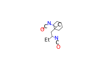 CCC(CC12CCC(CC1)CC2N=C=O)N=C=O